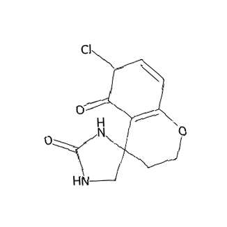 O=C1NCC2(CCOC3=C2C(=O)C(Cl)C=C3)N1